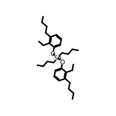 CCCCc1cccc([O][Sn]([CH2]CCC)([CH2]CCC)[O]c2cccc(CCCC)c2CC)c1CC